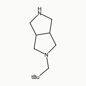 CC(C)(C)CN1CC2CNCC2C1